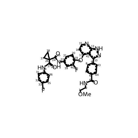 COCCNC(=O)c1ccc(-c2n[nH]c3nccc(Oc4ccc(NC(=O)C5(C(=O)Nc6ccc(F)cc6)CC5)cc4F)c23)cc1